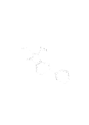 Cc1[nH]c2ccc(-c3ccccc3)cc2c1C#N